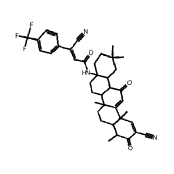 CC1C(=O)C(C#N)=CC2(C)C3=CC(=O)C4C5CC(C)(C)CCC5(NC(=O)/C=C(\C#N)c5ccc(C(F)(F)F)cc5)CCC4C3(C)CCC12